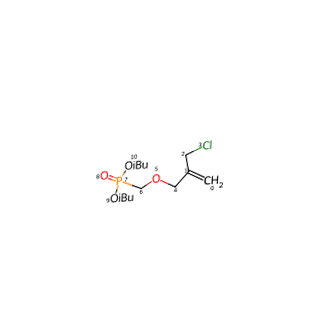 C=C(CCl)COCP(=O)(OCC(C)C)OCC(C)C